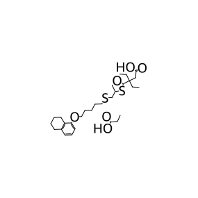 CCC(=O)O.CCC(CC)(CC(=O)O)C1OCC(CSCCCCCOc2cccc3c2CCCC3)S1